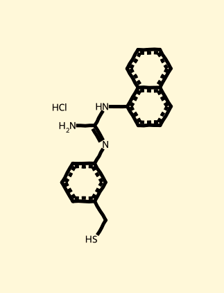 Cl.NC(=Nc1cccc(CS)c1)Nc1cccc2ccccc12